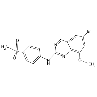 COc1cc(Br)cc2cnc(Nc3ccc(S(N)(=O)=O)cc3)nc12